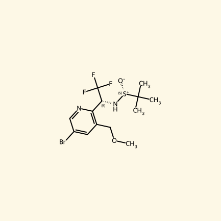 COCc1cc(Br)cnc1[C@@H](N[S@+]([O-])C(C)(C)C)C(F)(F)F